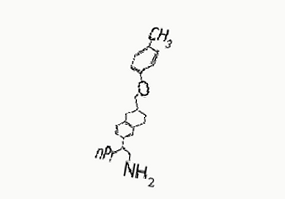 CCCC(CN)c1ccc2c(c1)CCC(COc1ccc(C)cc1)C2